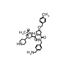 Cc1ccc(CO[C@@H]2C[C@@H](C(=O)NCc3ccc(CN)cc3)N(C(=O)[C@@H](CCC3CCNCC3)NS(C)(=O)=O)C2)cc1